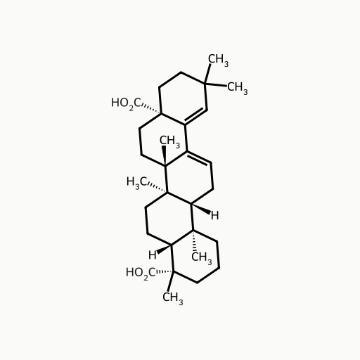 CC1(C)C=C2C3=CC[C@@H]4[C@@]5(C)CCC[C@](C)(C(=O)O)[C@@H]5CC[C@@]4(C)[C@]3(C)CC[C@@]2(C(=O)O)CC1